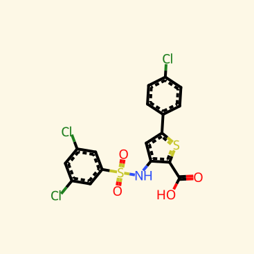 O=C(O)c1sc(-c2ccc(Cl)cc2)cc1NS(=O)(=O)c1cc(Cl)cc(Cl)c1